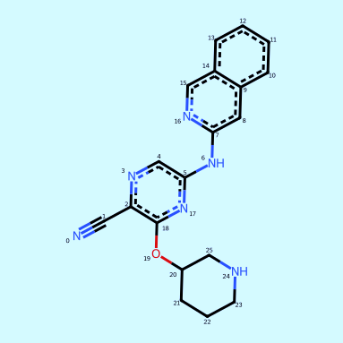 N#Cc1ncc(Nc2cc3ccccc3cn2)nc1OC1CCCNC1